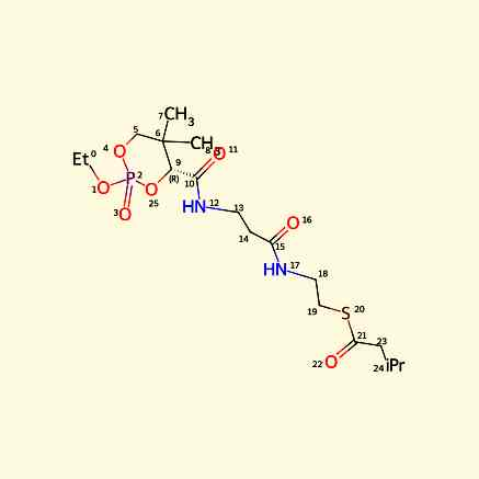 CCOP1(=O)OCC(C)(C)[C@H](C(=O)NCCC(=O)NCCSC(=O)CC(C)C)O1